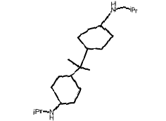 CC(C)NC1CCC(C(C)(C)C2CCC(NC(C)C)CC2)CC1